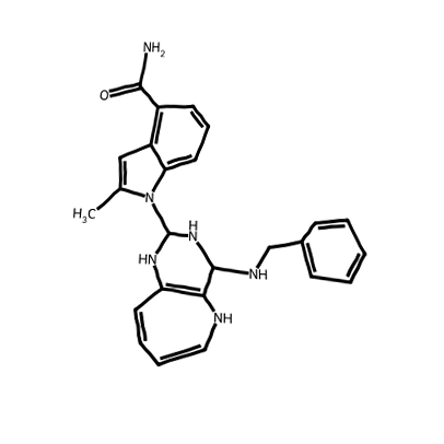 Cc1cc2c(C(N)=O)cccc2n1C1NC2=C(NC=CC=C2)C(NCc2ccccc2)N1